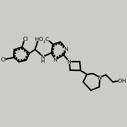 CC(Nc1nc(N2CC(C3CCCN(CCO)C3)C2)ncc1C(=O)O)c1ccc(Cl)cc1Cl